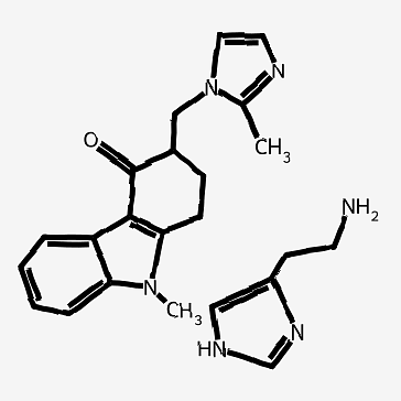 Cc1nccn1CC1CCc2c(c3ccccc3n2C)C1=O.NCCc1c[nH]cn1